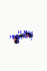 N=C(/C=C\C(=N)C1CC2(C1)CC(/C(N)=C/C=C(\N)NC(=O)Cc1ccccn1)C2)NC(=O)Cc1ccccn1